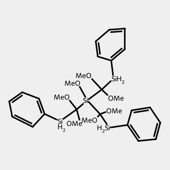 COC(OC)([SiH2]c1ccccc1)[Si](OC)(C(OC)(OC)[SiH2]c1ccccc1)C(OC)(OC)[SiH2]c1ccccc1